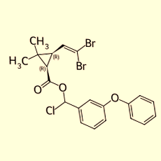 CC1(C)[C@H](C(=O)OC(Cl)c2cccc(Oc3ccccc3)c2)[C@@H]1C=C(Br)Br